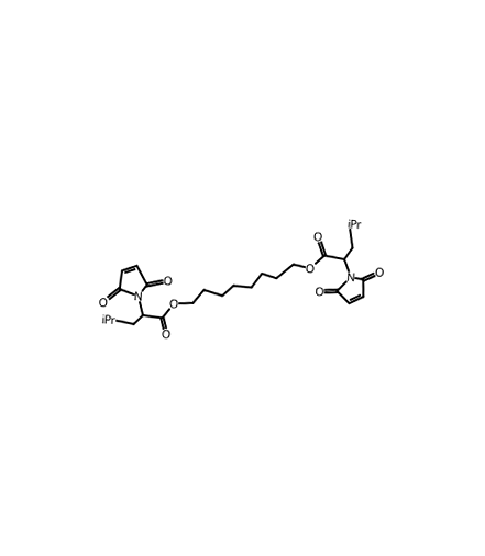 CC(C)CC(C(=O)OCCCCCCCCOC(=O)C(CC(C)C)N1C(=O)C=CC1=O)N1C(=O)C=CC1=O